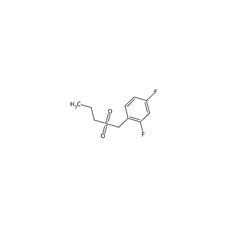 CCCS(=O)(=O)Cc1ccc(F)cc1F